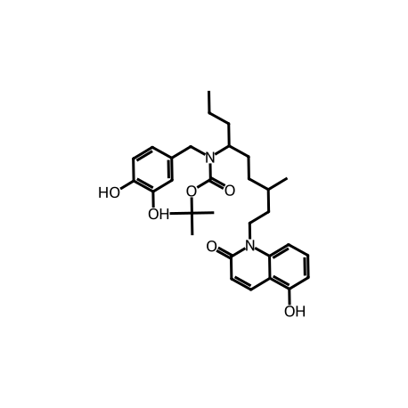 CCCC(CCC(C)CCn1c(=O)ccc2c(O)cccc21)N(Cc1ccc(O)c(O)c1)C(=O)OC(C)(C)C